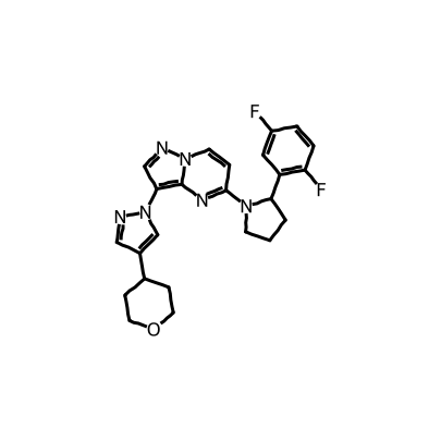 Fc1ccc(F)c(C2CCCN2c2ccn3ncc(-n4cc(C5CCOCC5)cn4)c3n2)c1